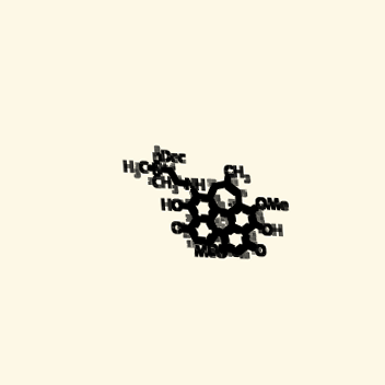 CCCCCCCCCC[N+](C)(C)CCNc1c(O)c2c(=O)cc(OC)c3c4c(OC)cc(=O)c5c(O)c(OC)c6c(c(c1CC(C)=C6)c23)c54